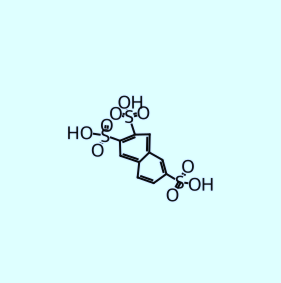 O=S(=O)(O)c1ccc2cc(S(=O)(=O)O)c(S(=O)(=O)O)cc2c1